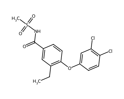 CCc1cc(C(=O)NS(C)(=O)=O)ccc1Oc1ccc(Cl)c(Cl)c1